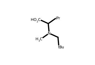 CC(C)C(C(=O)O)N(C)CC(C)(C)C